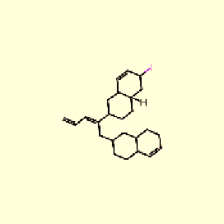 C=C/C=C(\CC1CCC2C=CCCC2C1)C1CC[C@H]2CC(I)C=CC2C1